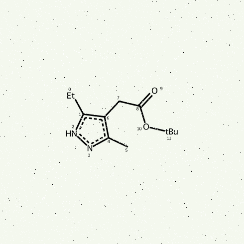 CCc1[nH]nc(C)c1CC(=O)OC(C)(C)C